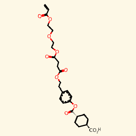 C=CC(=O)OCCOCCOC(=O)CCC(=O)OCCc1ccc(OC(=O)[C@H]2CC[C@H](C(=O)O)CC2)cc1